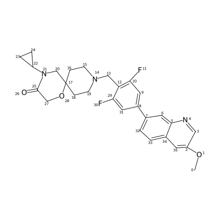 COc1cnc2cc(-c3cc(F)c(CN4CCC5(CC4)CN(C4CC4)C(=O)CO5)c(F)c3)ccc2c1